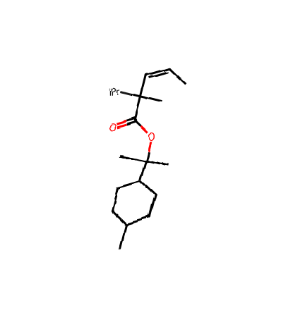 C/C=C\C(C)(C(=O)OC(C)(C)C1CCC(C)CC1)C(C)C